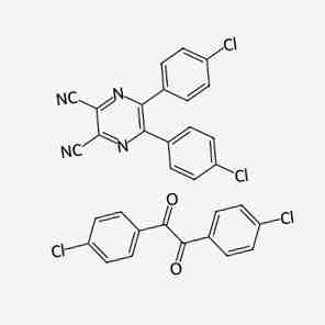 N#Cc1nc(-c2ccc(Cl)cc2)c(-c2ccc(Cl)cc2)nc1C#N.O=C(C(=O)c1ccc(Cl)cc1)c1ccc(Cl)cc1